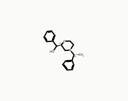 C[C@H](c1ccccc1)N1CCO[C@H](C(O)c2ccccc2)C1